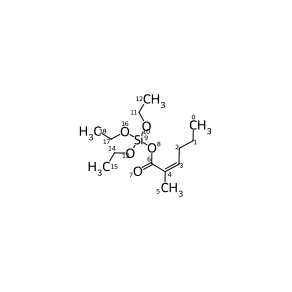 CCCC=C(C)C(=O)O[Si](OCC)(OCC)OCC